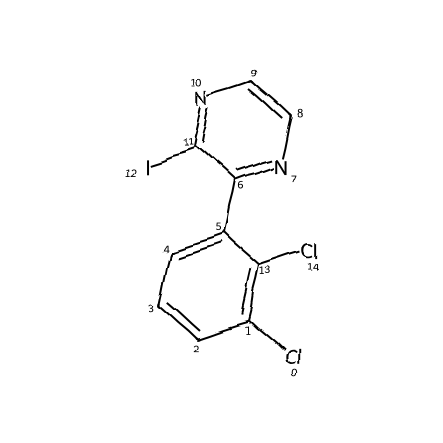 Clc1cccc(-c2nccnc2I)c1Cl